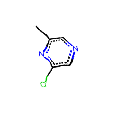 [CH2]c1cncc(Cl)n1